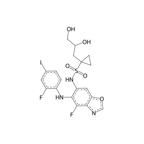 O=S(=O)(Nc1cc2ocnc2c(F)c1Nc1ccc(I)cc1F)C1(CC(O)CO)CC1